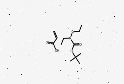 C=CC(=O)O.CCON(CC)C(=O)OC(C)(C)C